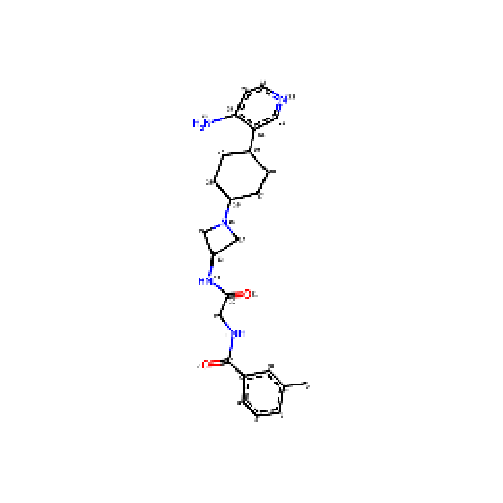 Cc1cccc(C(=O)NCC(=O)NC2CN(C3CCC(c4cnccc4N)CC3)C2)c1